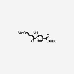 CCCCOC(=O)N1CCN(C(=O)[C@@H](N)CCOC)CC1